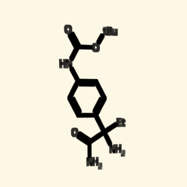 CCC(N)(C(N)=O)c1ccc(NC(=O)OC(C)(C)C)cc1